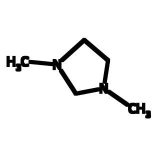 CN1CCN(C)C1